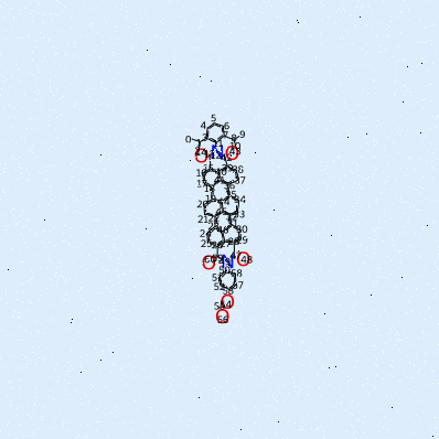 CC(C)c1cccc(C(C)C)c1N1C(=O)c2ccc3c4ccc5c6ccc7c8c(ccc(c9ccc(c%10ccc(c2c3%10)C1=O)c4c59)c86)C(=O)N(c1ccc(OC=O)cc1)C7=O